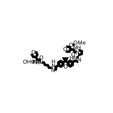 COC(=O)N[C@H](C(=O)N1CCC[C@H]1C1=NCC(c2ccc3c(c2)C2(CC2)c2ccc(C4CN=C(CCCCNC(=O)[C@@H](NC=O)C5CCOCC5)N4)cc2O3)N1)C1CCOCC1